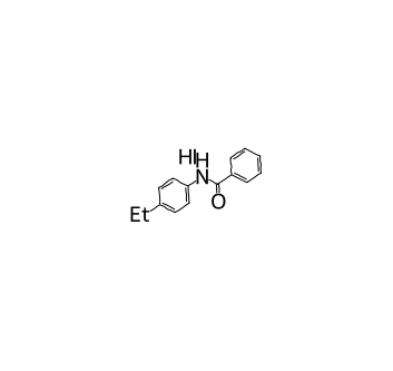 CCc1ccc(NC(=O)c2ccccc2)cc1.I